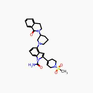 CS(=O)(=O)N1CC=C(c2cc3c(N4CCCC(N5CCc6ccccc6C5=O)C4)cccc3n2C(N)=O)CC1